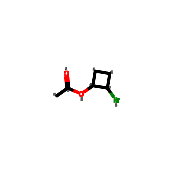 CC(=O)OC1CCC1Br